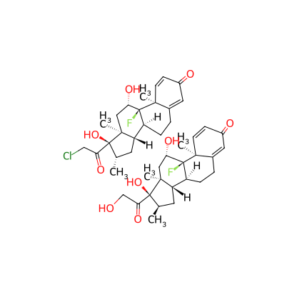 C[C@@H]1C[C@H]2[C@@H]3CCC4=CC(=O)C=C[C@]4(C)[C@@]3(F)[C@@H](O)C[C@]2(C)[C@@]1(O)C(=O)CO.C[C@H]1C[C@H]2[C@@H]3CCC4=CC(=O)C=C[C@]4(C)[C@@]3(F)[C@@H](O)C[C@]2(C)[C@@]1(O)C(=O)CCl